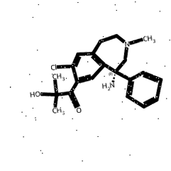 CN1CCc2cc(Cl)c(C(=O)C(C)(C)O)cc2[C@](N)(c2ccccc2)C1